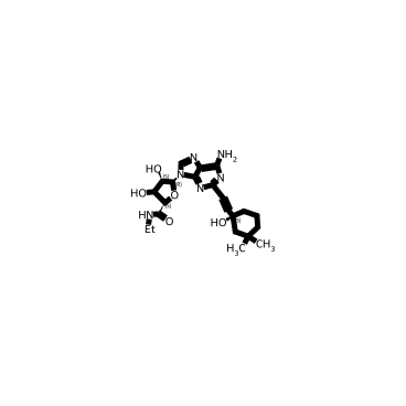 CCNC(=O)[C@H]1O[C@@H](n2cnc3c(N)nc(C#C[C@]4(O)CCCC(C)(C)C4)nc32)[C@@H](O)C1O